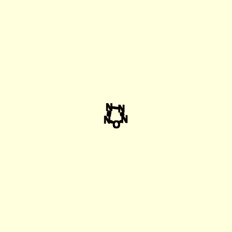 n1nnon1